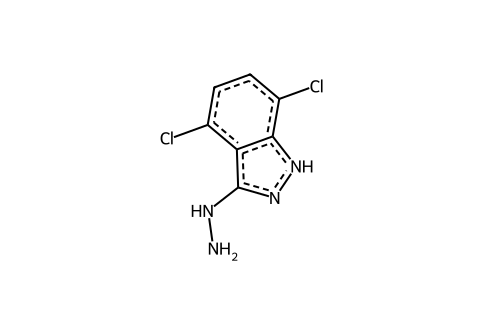 NNc1n[nH]c2c(Cl)ccc(Cl)c12